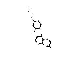 Cl.Cl.NS(=O)(=O)NCc1ccc(Nc2ccnc3[nH]c(=O)ccc23)c(Cl)c1